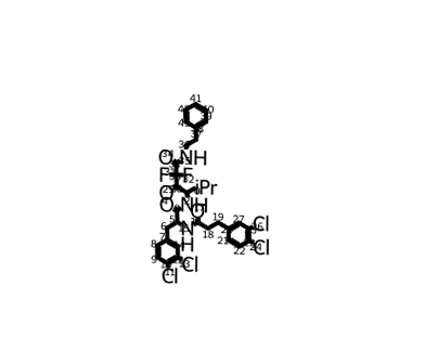 CC(C)C(NC(=O)C(Cc1ccc(Cl)c(Cl)c1)NC(=O)CCc1ccc(Cl)c(Cl)c1)C(=O)C(F)(F)C(=O)NCCc1ccccc1